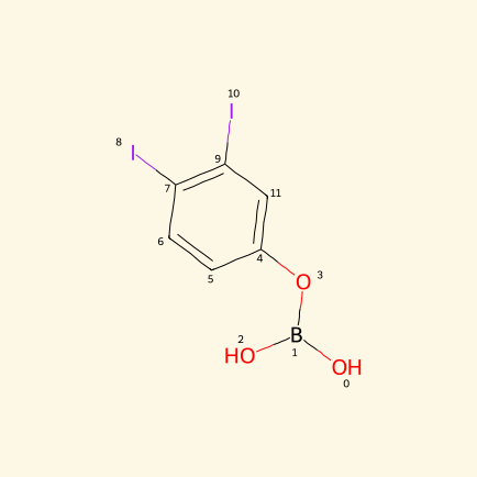 OB(O)Oc1ccc(I)c(I)c1